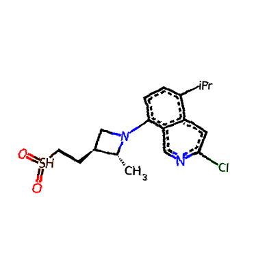 CC(C)c1ccc(N2C[C@H](CC[SH](=O)=O)[C@H]2C)c2cnc(Cl)cc12